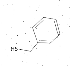 SCc1[c]cccc1